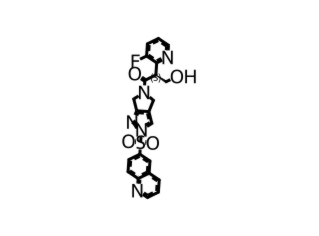 O=C([C@H](CO)c1ncccc1F)N1Cc2cn(S(=O)(=O)c3ccc4ncccc4c3)nc2C1